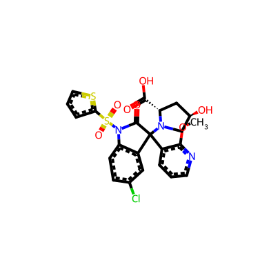 COc1ncccc1C1(N2C[C@H](O)C[C@H]2C(=O)O)C(=O)N(S(=O)(=O)c2cccs2)c2ccc(Cl)cc21